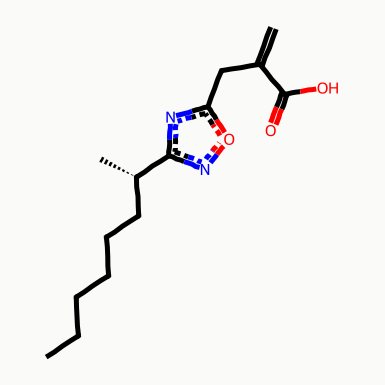 C=C(Cc1nc([C@@H](C)CCCCCC)no1)C(=O)O